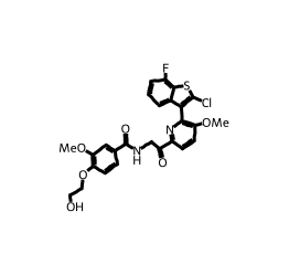 COc1cc(C(=O)NCC(=O)c2ccc(OC)c(-c3c(Cl)sc4c(F)cccc34)n2)ccc1OCCO